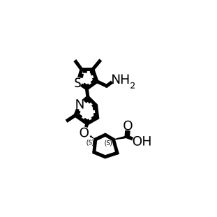 Cc1nc(-c2sc(C)c(C)c2CN)ccc1O[C@H]1CCC[C@H](C(=O)O)C1